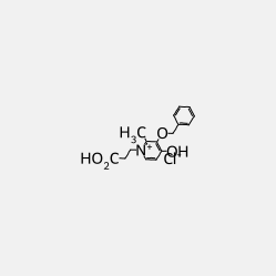 Cc1c(OCc2ccccc2)c(O)cc[n+]1CCC(=O)O.[Cl-]